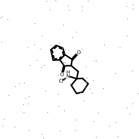 O=C1c2ccccc2C(=O)C1CC1(NCl)CCCCC1